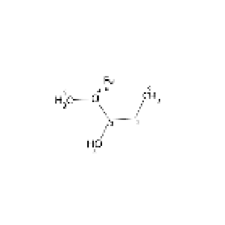 CCC(O)OC.[Fe]